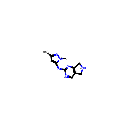 Cn1nc(C(C)(C)C)cc1Nc1ncc2c(n1)CNC2